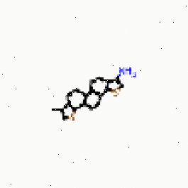 Cc1csc2c1ccc1c3ccc4c(N)csc4c3ccc12